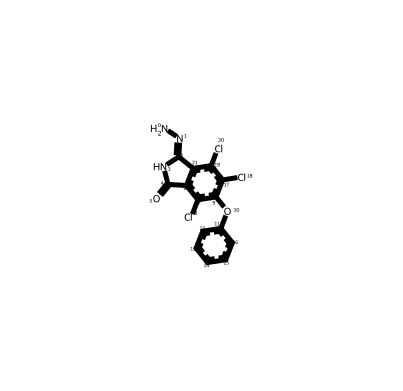 NN=C1NC(=O)c2c(Cl)c(Oc3ccccc3)c(Cl)c(Cl)c21